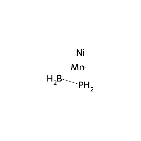 BP.[Mn].[Ni]